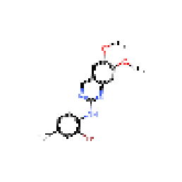 COc1cc2cnc(Nc3ccc(C)cc3Br)nc2cc1OC